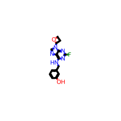 Oc1cccc(CNc2nc(F)nc3c2ncn3C2CCO2)c1